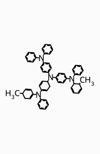 CC1C=CC(N(C2=CCC(N(c3ccc(N(c4ccccc4)c4ccccc4)cc3)c3ccc(N(c4ccccc4)C4C=CC=CC4C)cc3)C=C2)c2ccccc2)=CC1